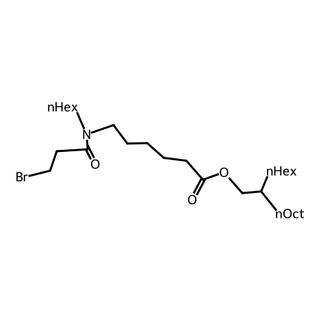 CCCCCCCCC(CCCCCC)COC(=O)CCCCCN(CCCCCC)C(=O)CCBr